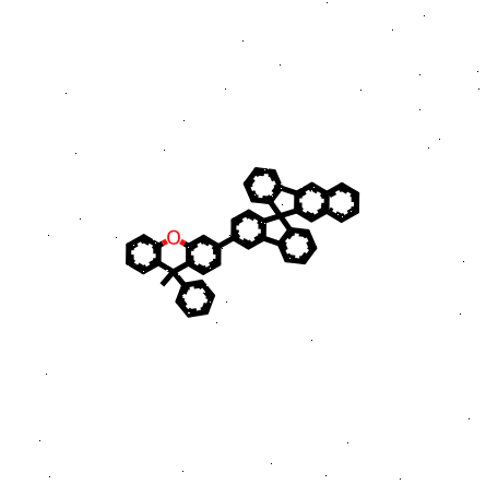 CC1(c2ccccc2)c2ccccc2Oc2cc(-c3ccc4c(c3)-c3ccccc3C43c4ccccc4-c4cc5ccccc5cc43)ccc21